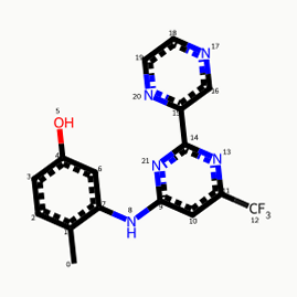 Cc1ccc(O)cc1Nc1cc(C(F)(F)F)nc(-c2cnccn2)n1